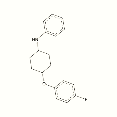 Fc1ccc(O[C@H]2CC[C@@H](Nc3ccccc3)CC2)cc1